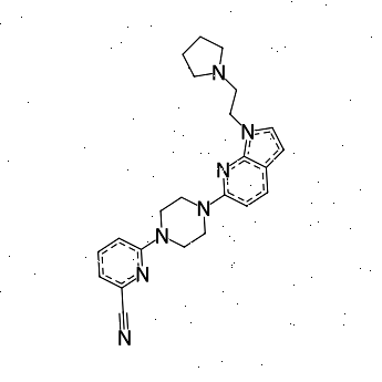 N#Cc1cccc(N2CCN(c3ccc4ccn(CCN5CCCC5)c4n3)CC2)n1